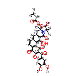 COc1cc2oc3c(c(=O)c2cc1OC)C(=O)c1c(ccc2cc4c(c(O)c12)C(=O)N1C(COC(=O)CC(C)C)(C4)OC(=O)C1(C)C)C3=O